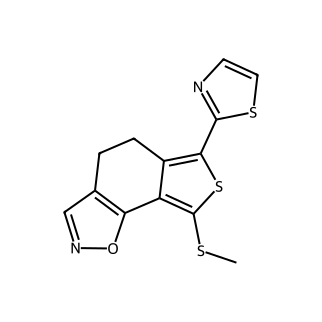 CSc1sc(-c2nccs2)c2c1-c1oncc1CC2